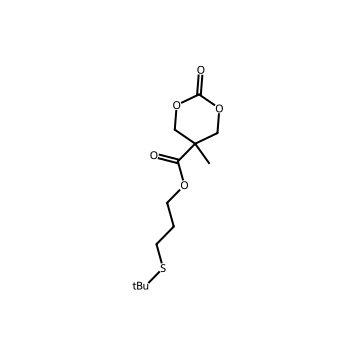 CC(C)(C)SCCCOC(=O)C1(C)COC(=O)OC1